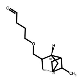 CC1C2C[C@]13CC(COCCCC=O)[C@H]2C3